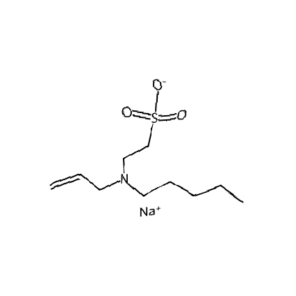 C=CCN(CCCCC)CCS(=O)(=O)[O-].[Na+]